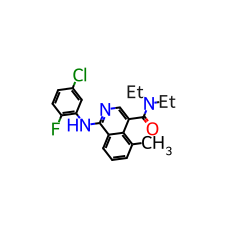 CCN(CC)C(=O)c1cnc(Nc2cc(Cl)ccc2F)c2cccc(C)c12